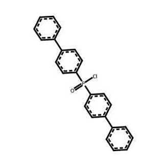 O=P(Cl)(c1ccc(-c2ccccc2)cc1)c1ccc(-c2ccccc2)cc1